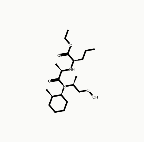 CCC[C@@H](N[C@H](C)C(=O)N([C@@H](C)COO)[C@H]1CCCC[C@H]1C)C(=O)OCC